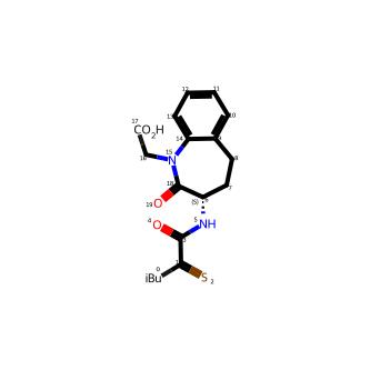 CCC(C)C(=S)C(=O)N[C@H]1CCc2ccccc2N(CC(=O)O)C1=O